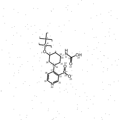 CC(C)(C)[Si](C)(C)OC1C[C@H](NC(=O)O)CN(c2ccncc2[N+](=O)[O-])C1